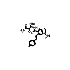 CCCCC(NC(=O)c1ccccc1C=Cc1ccc(C)cc1)C(=O)C(N)=O.CCCNC